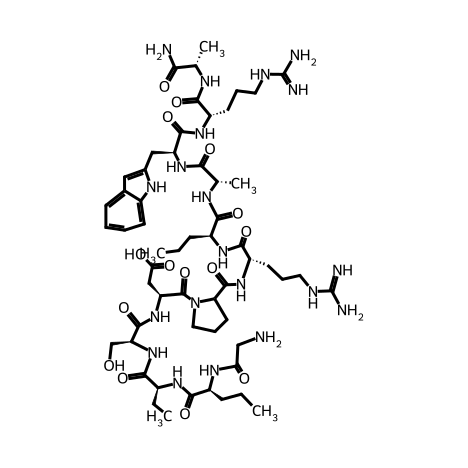 CCC[C@H](NC(=O)CN)C(=O)N[C@@H](CC)C(=O)N[C@@H](CO)C(=O)N[C@@H](CC(=O)O)C(=O)N1CCCC1C(=O)N[C@@H](CCCNC(=N)N)C(=O)N[C@@H](CCC)C(=O)N[C@@H](C)C(=O)N[C@@H](Cc1cc2ccccc2[nH]1)C(=O)N[C@@H](CCCNC(=N)N)C(=O)N[C@@H](C)C(N)=O